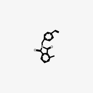 C=Cc1ccc(CN2C(=O)c3cccc(C)c3C2=O)cc1